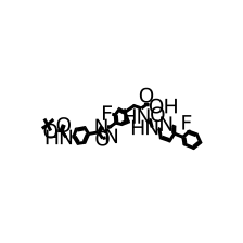 CC(C)(C)OC(=O)Nc1ccc(-c2nc(-c3ccc(CC(NC(=O)Nc4ccc(-c5ccccc5F)cn4)C(=O)O)cc3F)no2)cc1